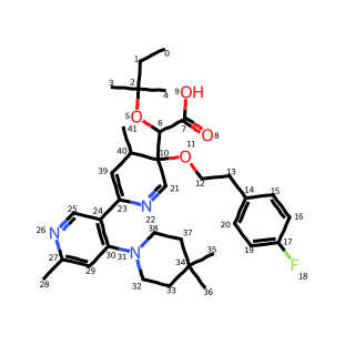 CCC(C)(C)OC(C(=O)O)C1(OCCc2ccc(F)cc2)C=NC(c2cnc(C)cc2N2CCC(C)(C)CC2)=CC1C